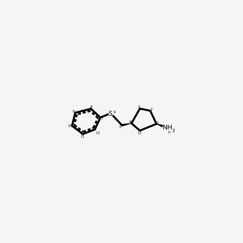 N[C@@H]1CC[C@H](CSc2ccccc2)C1